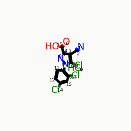 Cl.N#Cc1c(C(=O)O)nn(-c2ccc(Cl)cc2Cl)c1Cl